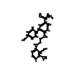 N#Cc1cccc(OCCOc2cnc(C(N)=O)cc2-c2ccc(F)cc2)c1F